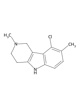 Cc1ccc2[nH]c3c(c2c1Cl)CN(C)CC3